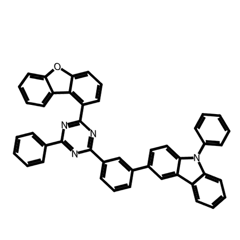 c1ccc(-c2nc(-c3cccc(-c4ccc5c(c4)c4ccccc4n5-c4ccccc4)c3)nc(-c3cccc4oc5ccccc5c34)n2)cc1